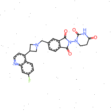 O=C1CCN(N2C(=O)c3ccc(CN4CC(c5ccnc6cc(F)ccc56)C4)cc3C2=O)C(=O)N1